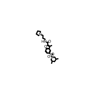 Cc1c(C(=O)NCCCN2CCCC2)oc2ccc(S(=O)(=O)N3CC(C)CC(C)C3)cc12